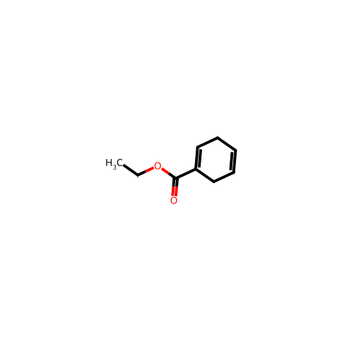 C[CH]OC(=O)C1=CCC=CC1